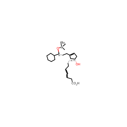 CC(C)(C)[Si](C)(C)O[C@H](CCC1=CC[C@H](O)[C@@H]1CCC=C=CCC(=O)O)C1CCCCC1